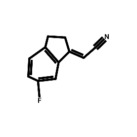 N#CC=C1CCc2ccc(F)cc21